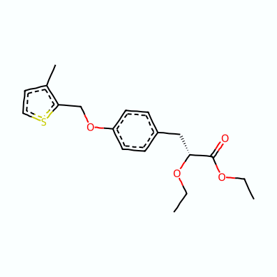 CCOC(=O)[C@@H](Cc1ccc(OCc2sccc2C)cc1)OCC